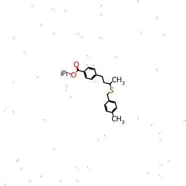 Cc1ccc(CSC(C)CCc2ccc(C(=O)OC(C)C)cc2)cc1